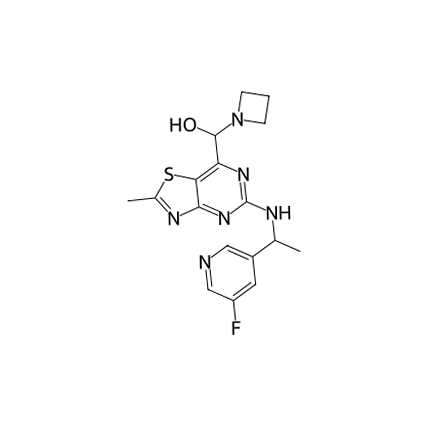 Cc1nc2nc(NC(C)c3cncc(F)c3)nc(C(O)N3CCC3)c2s1